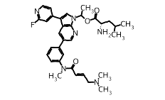 CC(C)C[C@H](N)C(=O)OC(C)n1cc(-c2ccnc(F)c2)c2cc(-c3cccc(N(C)C(=O)/C=C/CN(C)C)c3)cnc21